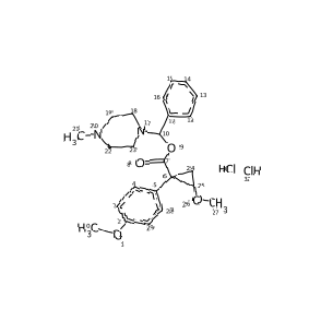 COc1ccc(C2(C(=O)OC(c3ccccc3)N3CCN(C)CC3)CC2OC)cc1.Cl.Cl